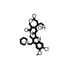 CCC1(O)CC(=O)OCc2c1cc1n(c2=O)Cc2c-1nc1cc(Cl)c(OC)cc1c2CN1CCCCC1